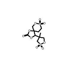 CC1(C2OC(=O)OC23CCS(=O)(=O)OC3)COS(=O)(=O)C1